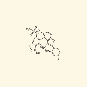 CNC(=O)c1c(-c2ccc(F)cc2)oc2ccc(C3CC3)c(-c3c(NS(C)(=O)=O)cc4c(c3Cl)B(O)OC4)c12